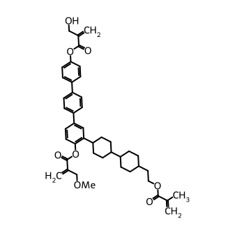 C=C(C)C(=O)OCCC1CCC(C2CCC(c3cc(-c4ccc(-c5ccc(OC(=O)C(=C)CO)cc5)cc4)ccc3OC(=O)C(=C)COC)CC2)CC1